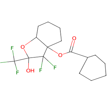 O=C(OC12CCCCC1OC(O)(C(F)(F)F)C2(F)F)C1CCCCC1